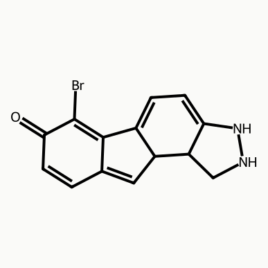 O=C1C=CC2=CC3C(=CC=C4NNCC43)C2=C1Br